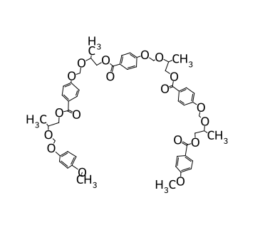 COc1ccc(OCOC(C)COC(=O)c2ccc(OCOC(C)COC(=O)c3ccc(OCOC(C)COC(=O)c4ccc(OCOC(C)COC(=O)c5ccc(OC)cc5)cc4)cc3)cc2)cc1